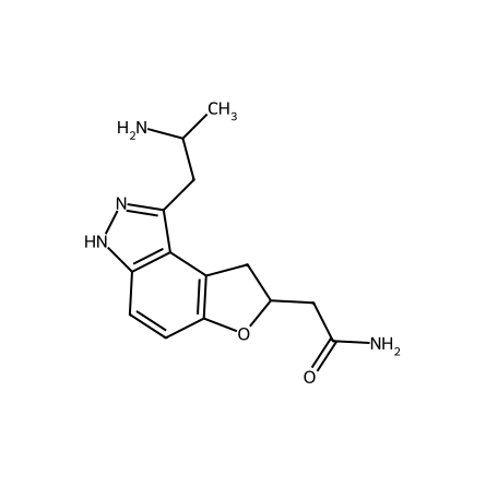 CC(N)Cc1n[nH]c2ccc3c(c12)CC(CC(N)=O)O3